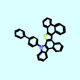 c1ccc(-c2ccc(-n3c4ccccc4c4c5ccccc5c5c(sc6c7ccccc7c7ccccc7c65)c43)cc2)cc1